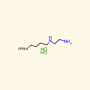 CCCCCCCCCCNCCN.Cl.Cl